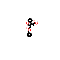 COC(=O)C(C)C1c2ccccc2OCC1CC(=O)OCc1ccccc1